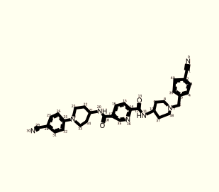 N#Cc1ccc(CN2CCC(NC(=O)c3ccc(C(=O)NC4CCN(c5ccc(C#N)cc5)CC4)cn3)CC2)cc1